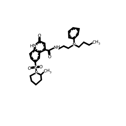 CCCCN(CCCNC(=O)c1cc(=O)[nH]c2ccc(S(=O)(=O)N3CCCCC3C)cc12)c1ccccc1